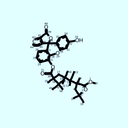 COC(=O)C(C)(CC(C)(C)C)C(C)(C)C(C)(C)CC(C)(C(=O)Oc1cccc2c1Oc1cc(O)ccc1C21OC(=O)c2ccccc21)C(C)(C)C